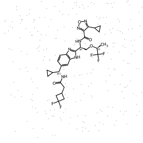 C[C@H](OC[C@H](NC(=O)c1nonc1C1CC1)c1nc2ccc([C@H](NC(=O)CC3CC(F)(F)C3)C3CC3)cc2[nH]1)C(F)(F)F